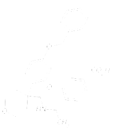 CC(NC(=O)C1(c2ccc(OCc3ccccc3)cc2)CCOCC1)c1ccc(C(=O)O)cc1